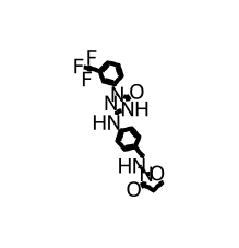 O=C1CCON1NCc1ccc(Nc2nn(-c3cccc(C(F)(F)F)c3)c(=O)[nH]2)cc1